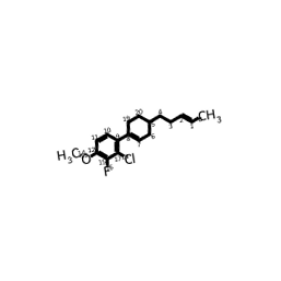 C/C=C/CCC1CC=C(c2ccc(OC)c(F)c2Cl)CC1